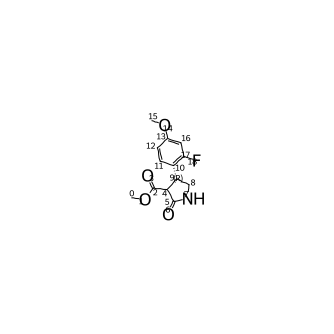 COC(=O)C1C(=O)NC[C@H]1c1ccc(OC)cc1F